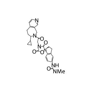 CNC(=O)Nc1ccc2c(c1)CC[C@]21OC(=O)N(CC(=O)N2Cc3cnccc3CCC2C2CC2)C1=O